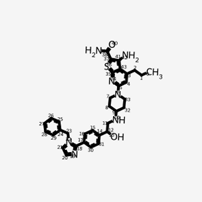 CCCc1cc(N2CCC(NCC(O)c3ccc(-c4nccn4Cc4ccccc4)cc3)CC2)nc2sc(C(N)=O)c(N)c12